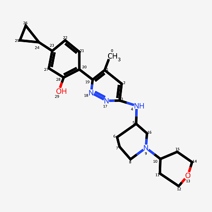 Cc1cc(NC2CCCN(C3CCOCC3)C2)nnc1-c1ccc(C2CC2)cc1O